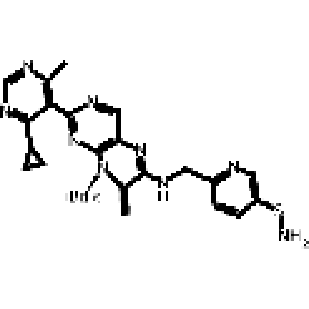 C=C1C(NCc2ccc(SN)cn2)=Nc2cnc(-c3c(C)ncnc3C3CC3)nc2N1[C@H](C)CC